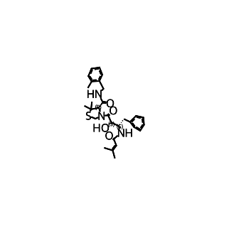 CC(C)=CC(=O)N[C@@H](Cc1ccccc1)[C@H](O)C(=O)N1CSC(C)(C)[C@H]1C(=O)NCc1ccccc1C